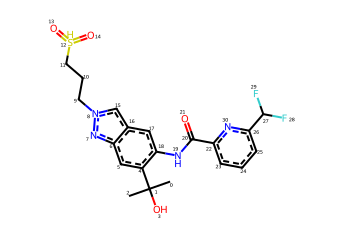 CC(C)(O)c1cc2nn(CCC[SH](=O)=O)cc2cc1NC(=O)c1cccc(C(F)F)n1